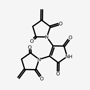 C=C1CC(=O)N(C2=C(N3C(=O)CC(=C)C3=O)C(=O)NC2=O)C1=O